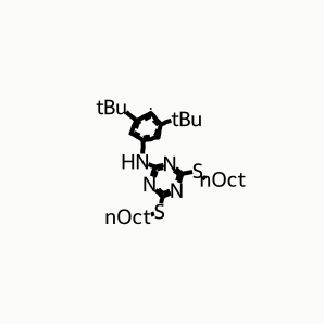 CCCCCCCCSc1nc(Nc2cc(C(C)(C)C)[c]c(C(C)(C)C)c2)nc(SCCCCCCCC)n1